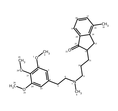 COc1cc(CCN(C)CCCC2Cc3c(C)cccc3C2=O)cc(OC)c1OC